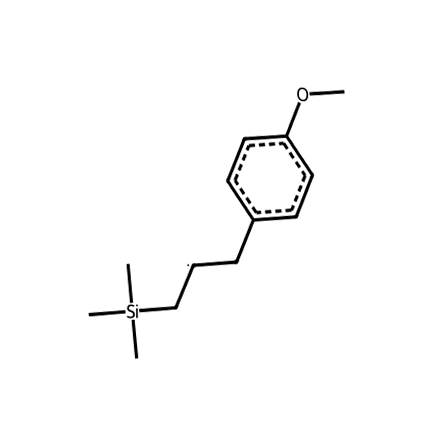 COc1ccc(C[CH]C[Si](C)(C)C)cc1